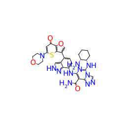 NC(=O)c1c(Nc2ccc(-c3coc4c(=O)cc(N5CCOCC5)sc34)c3c[nH]nc23)nc(N[C@H]2CCCC[C@H]2N)n2cnnc12